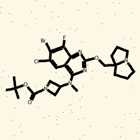 CN(c1nc(OCC23CCCN2CCC3)nc2c(F)c(Br)c(Cl)cc12)C1CN(C(=O)OC(C)(C)C)C1